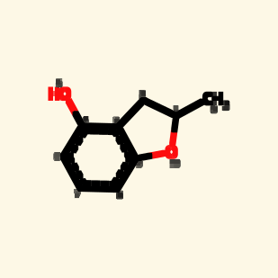 CC1Cc2c(O)cccc2O1